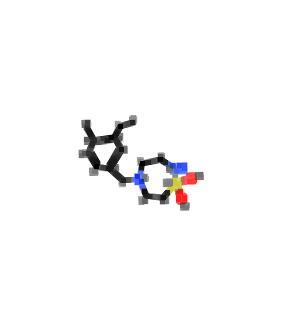 CCc1cc(CN2CCNS(=O)(=O)CC2)ccc1C